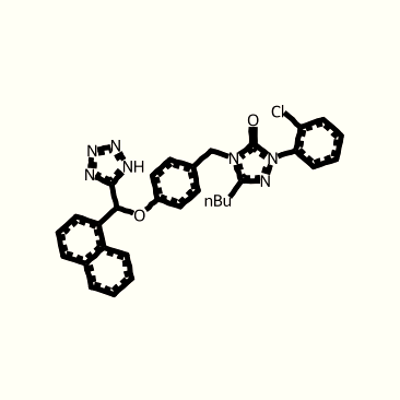 CCCCc1nn(-c2ccccc2Cl)c(=O)n1Cc1ccc(OC(c2nnn[nH]2)c2cccc3ccccc23)cc1